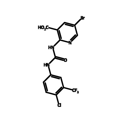 O=C(Nc1ccc(Cl)c(C(F)(F)F)c1)Nc1ncc(Br)cc1C(=O)O